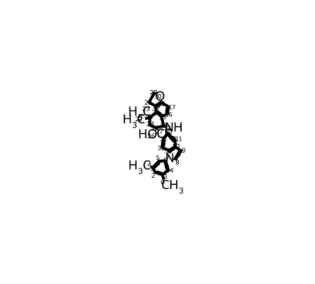 Cc1cc(C)cc(-n2ccc3cc(NC4c5ccc6c(c5C(C)(C)CC4(O)C(F)(F)F)CCO6)ccc32)c1